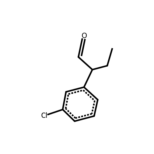 CCC(C=O)c1cccc(Cl)c1